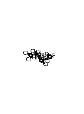 COc1cc(F)ccc1NC(=O)c1cc(NC(=O)[C@H]2[C@H](c3cc(Cl)cc(Cl)c3)C2(Cl)Cl)ccc1Cl